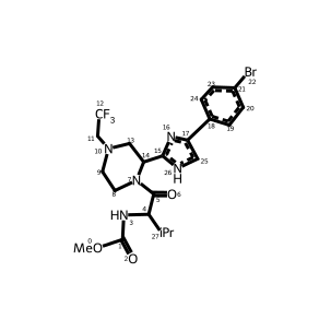 COC(=O)NC(C(=O)N1CCN(CC(F)(F)F)CC1c1nc(-c2ccc(Br)cc2)c[nH]1)C(C)C